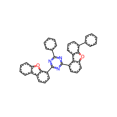 c1ccc(-c2nc(-c3cccc4c3oc3ccccc34)nc(-c3cccc4oc5c(-c6ccccc6)cccc5c34)n2)cc1